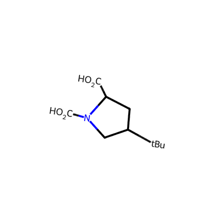 CC(C)(C)C1CC(C(=O)O)N(C(=O)O)C1